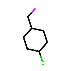 ClC1CCC(CI)CC1